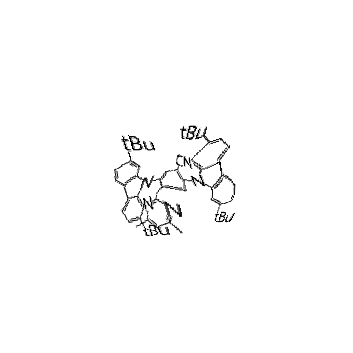 Cc1cc(C)nc(-c2cc(-n3c4cc(C(C)(C)C)ccc4c4ccc(C(C)(C)C)cc43)c(C#N)cc2-n2c3cc(C(C)(C)C)ccc3c3ccc(C(C)(C)C)cc32)n1